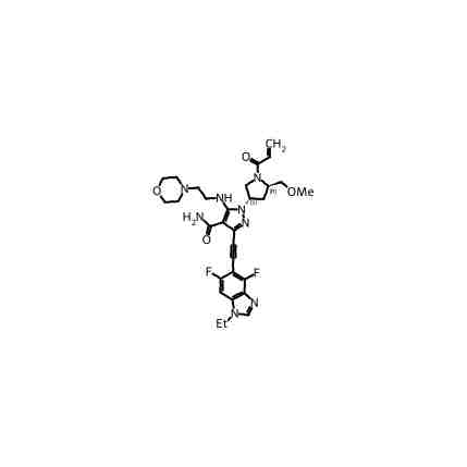 C=CC(=O)N1C[C@@H](n2nc(C#Cc3c(F)cc4c(ncn4CC)c3F)c(C(N)=O)c2NCCN2CCOCC2)C[C@@H]1COC